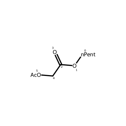 CCCCCOC(=O)COC(C)=O